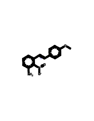 COc1ccc(/C=C/c2cccc(N)c2[N+](=O)[O-])cc1